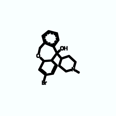 CN1CCC(C2(O)c3ccccc3COC3C=C(Br)C=CC32)CC1